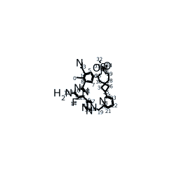 Cc1c(C#N)cccc1-c1nc(N)c(F)c(-c2cn(Cc3cccc(C4CC5(CCN(S(C)(=O)=O)CC5)C4)n3)nn2)n1